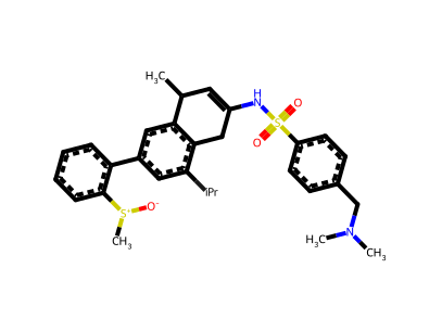 CC(C)c1cc(-c2ccccc2[S+](C)[O-])cc2c1CC(NS(=O)(=O)c1ccc(CN(C)C)cc1)=CC2C